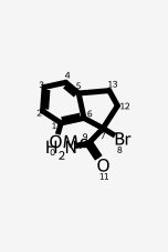 COc1cccc2c1C(Br)(C(N)=O)CC2